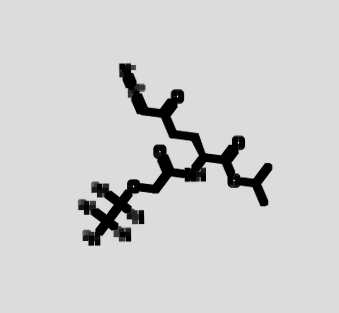 [2H]C([2H])([2H])C([2H])([2H])OCC(=O)N[C@@H](CCC(=O)C=[N+]=[N-])C(=O)OC(C)C